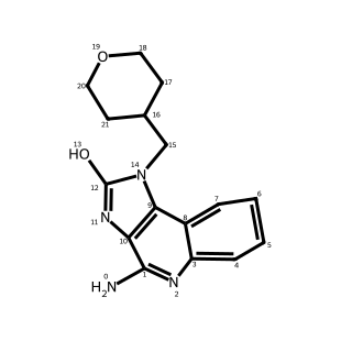 Nc1nc2ccccc2c2c1nc(O)n2CC1CCOCC1